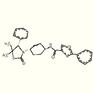 CC1(C)OC(=O)N([C@H]2CC[C@H](NC(=O)c3coc(-c4ccccc4)n3)CC2)[C@H]1c1ccccc1